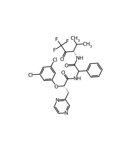 CC(C)[C@H](NC(=O)C(NC(=O)[C@H](Cc1cnccn1)Oc1cc(Cl)cc(Cl)c1)c1ccccc1)C(=O)C(F)(F)F